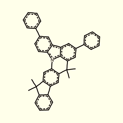 CC1(C)c2ccccc2-c2cc3c(cc21)-n1c2ccc(-c4ccccc4)cc2c2cc(-c4ccccc4)cc(c21)C3(C)C